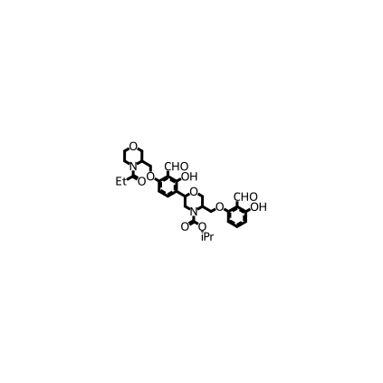 CCC(=O)N1CCOCC1COc1ccc(C2CN(C(=O)OC(C)C)C(COc3cccc(O)c3C=O)CO2)c(O)c1C=O